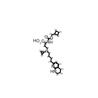 O=C(N[C@@H](CCN(CCCCc1ccc2c(n1)NCCC2)C1CC1)C(=O)O)OCC1CCC1